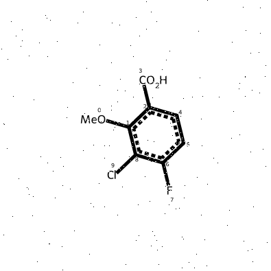 COc1c(C(=O)O)ccc(F)c1Cl